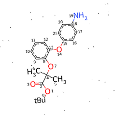 CC(C)(C)OC(=O)C(C)(C)Oc1ccccc1Oc1ccc(N)cc1